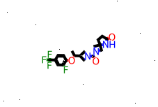 CC(Oc1ccc(C(F)(F)F)cc1F)C1CN(C(=O)N2CC3(CCC(=O)N3)C2)C1